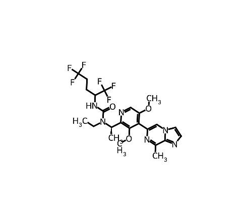 CCN(C(=O)NC(CCC(F)(F)F)C(F)(F)F)[C@H](C)c1ncc(OC)c(-c2cn3ccnc3c(C)n2)c1OC